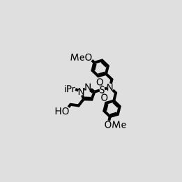 COc1ccc(CN(Cc2ccc(OC)cc2)S(=O)(=O)c2cc(CCO)n(C(C)C)n2)cc1